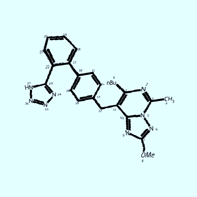 CCCCc1nc(C)n2nc(OC)nc2c1Cc1ccc(-c2ccccc2-c2nnn[nH]2)cc1